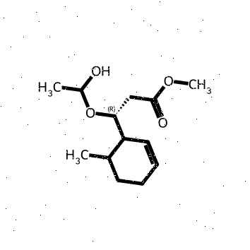 COC(=O)C[C@@H](OC(C)O)C1C=CCCC1C